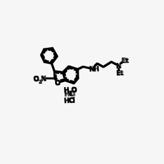 CCN(CC)CCCNCc1ccc2oc([N+](=O)[O-])c(-c3ccccc3)c2c1.Cl.Cl.O